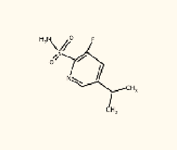 CC(C)c1cnc(S(N)(=O)=O)c(F)c1